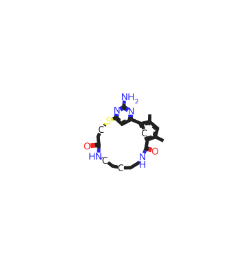 Cc1cc(C)c2cc1C(=O)NCCCCCNC(=O)CCSc1cc-2nc(N)n1